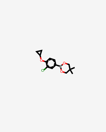 CC1(C)COB(c2ccc(OC3CC3)c(Cl)c2)OC1